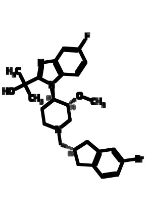 CO[C@@H]1CN(C[C@H]2Cc3ccc(Br)cc3C2)CC[C@H]1n1c(C(C)(C)O)nc2cc(F)ccc21